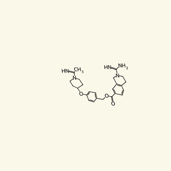 CC(=N)N1CCC(Oc2ccc(COC(=O)c3ccc4c(c3)CN(C(=N)N)CC4)cc2)CC1